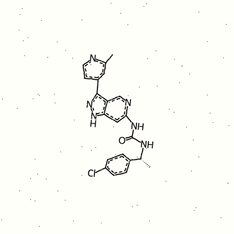 Cc1cc(-c2n[nH]c3cc(NC(=O)N[C@H](C)c4ccc(Cl)cc4)ncc23)ccn1